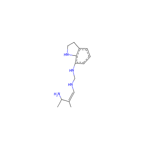 C/C(=C/NCNc1cccc2c1NCC2)C(C)N